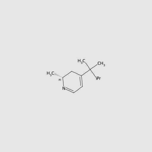 CC(C)C(C)(C)C1=CC=N[C@H](C)C1